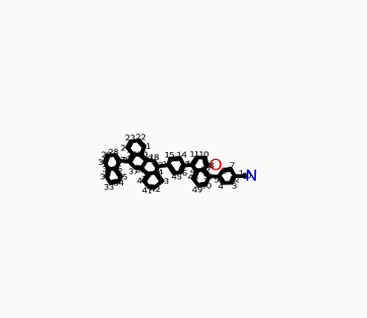 N#Cc1ccc2c(c1)Oc1ccc(-c3ccc(-c4cc5c6ccccc6c(-c6cccc7ccccc67)cc5c5ccccc45)cc3)c3cccc-2c13